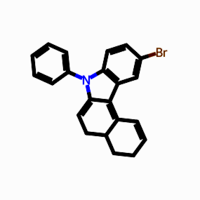 Brc1ccc2c(c1)c1c(n2-c2ccccc2)=CCC2CCC=CC=12